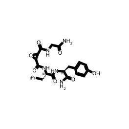 CC(C)C[C@H](NC(=O)C1OC1C(=O)NCC(N)=O)C(=O)N[C@@H](Cc1ccc(O)cc1)C(N)=O